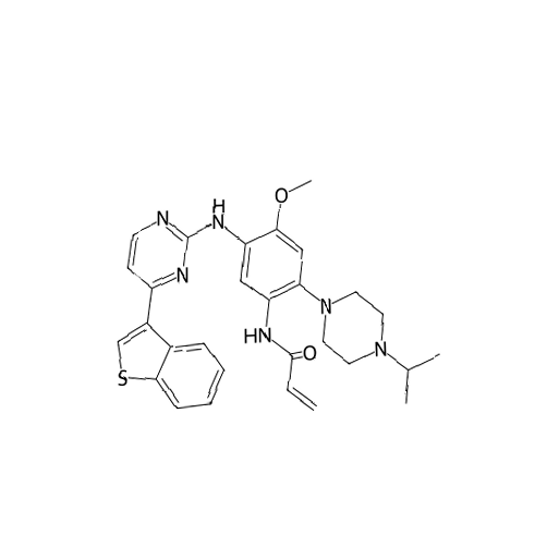 C=CC(=O)Nc1cc(Nc2nccc(-c3csc4ccccc34)n2)c(OC)cc1N1CCN(C(C)C)CC1